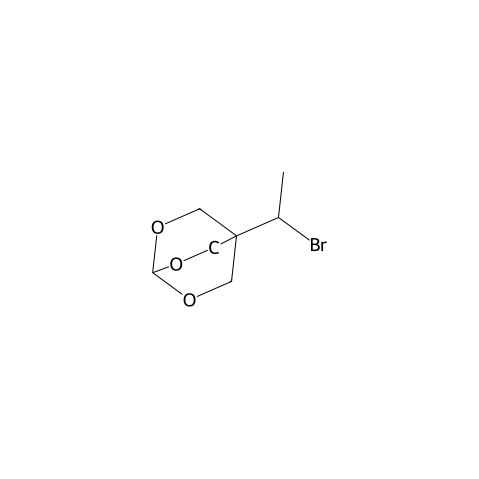 CC(Br)C12COC(OC1)OC2